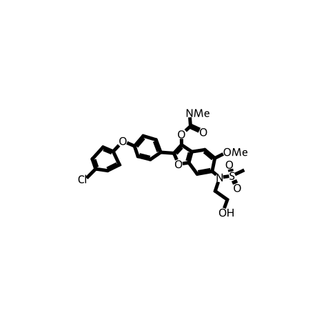 CNC(=O)Oc1c(-c2ccc(Oc3ccc(Cl)cc3)cc2)oc2cc(N(CCO)S(C)(=O)=O)c(OC)cc12